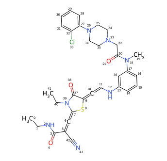 CCNC(=O)C(=C=c1sc(=C=CNc2cccc(N(C)C(=O)CN3CCN(c4ccccc4Cl)CC3)c2)c(=O)n1CC)C#N